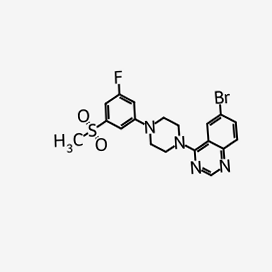 CS(=O)(=O)c1cc(F)cc(N2CCN(c3ncnc4ccc(Br)cc34)CC2)c1